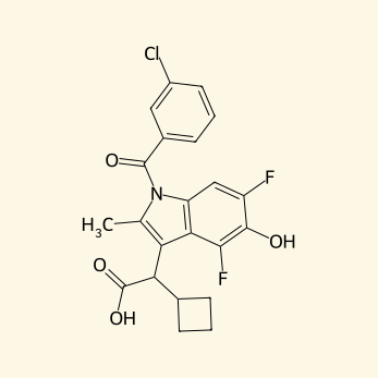 Cc1c(C(C(=O)O)C2CCC2)c2c(F)c(O)c(F)cc2n1C(=O)c1cccc(Cl)c1